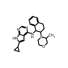 CC1COCCN1C1CCc2ccccc2C1Nc1ncnc2[nH]c(C3CC3)cc12